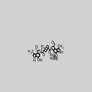 Cc1c[nH]c2c(O)cc3c(c12)[C@H](CCl)CN3C(=O)C1(C)C2C3CC4C1C2C34C(=O)N1C[C@@H](CCl)c2c1cc(OP(=O)(O)O)c1[nH]cc(C)c21